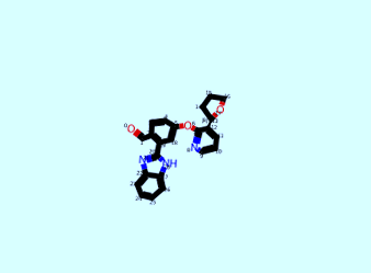 O=Cc1ccc(Oc2ncccc2[C@H]2CCCO2)cc1-c1nc2ccccc2[nH]1